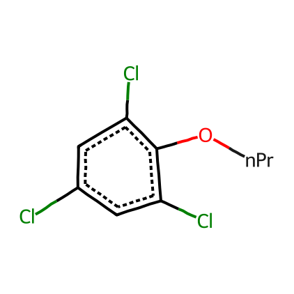 [CH2]CCOc1c(Cl)cc(Cl)cc1Cl